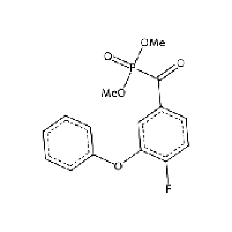 COP(=O)(OC)C(=O)c1ccc(F)c(Oc2ccccc2)c1